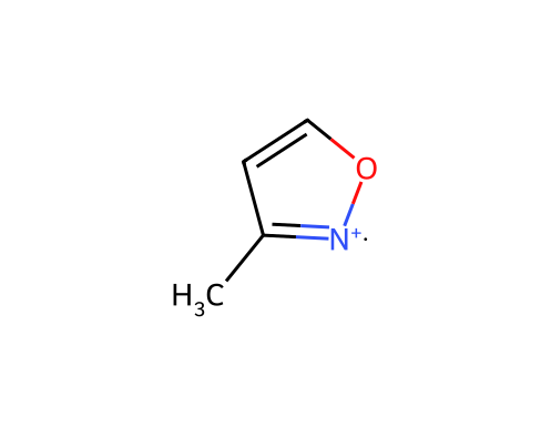 CC1=[N+]OC=C1